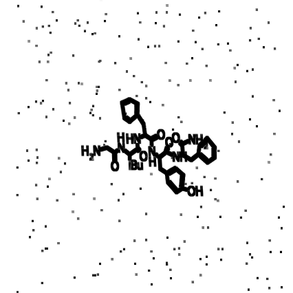 CCC(C)C(NC(=O)CN)C(=O)NC(Cc1ccccc1)C(=O)NC(Cc1ccc(O)cc1)C(=O)NC(Cc1ccccc1)C(N)=O